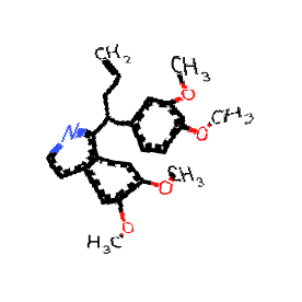 C=CCC(c1ccc(OC)c(OC)c1)c1nccc2cc(OC)c(OC)cc12